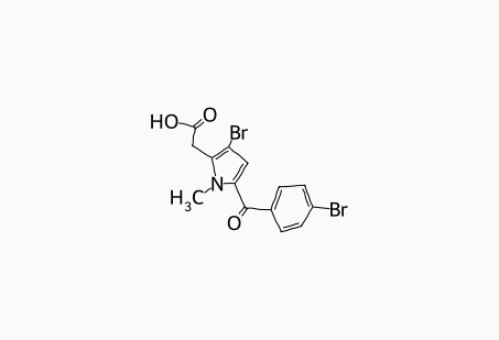 Cn1c(C(=O)c2ccc(Br)cc2)cc(Br)c1CC(=O)O